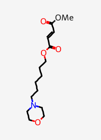 COC(=O)/C=C/C(=O)OCCCCCCN1CCOCC1